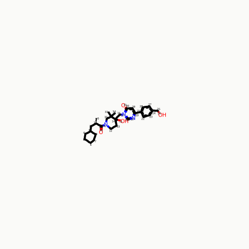 C[C@H](CC1CCCCC1)C(=O)N1CCC(O)(Cn2cnc(-c3ccc(CO)cc3)cc2=O)C(C)(C)C1